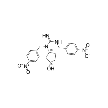 N=C(NCc1ccc([N+](=O)[O-])cc1)N(Cc1ccc([N+](=O)[O-])cc1)[C@@H]1CC[C@H](O)C1